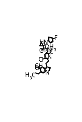 CCCc1cc2nccc(CCc3nc(C)c(NC(=O)C4(C(=O)Nc5ccc(F)cc5)CC4)cc3Cl)c2cc1OC